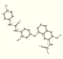 COc1cc2nccc(Oc3ccc(NC(=O)Nc4ccc(F)cc4)c(F)c3)c2cc1NC(C)=O